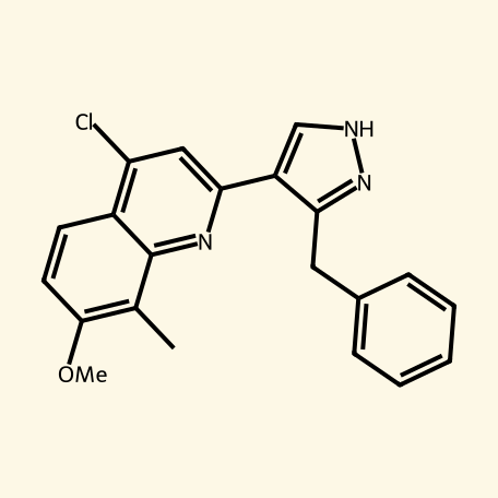 COc1ccc2c(Cl)cc(-c3c[nH]nc3Cc3ccccc3)nc2c1C